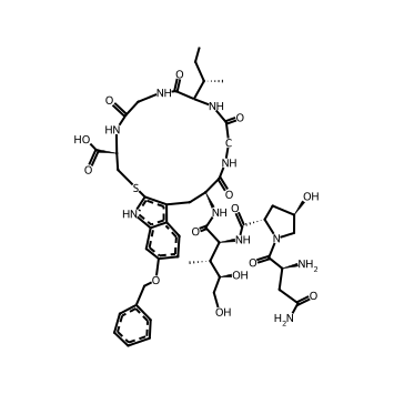 CC[C@H](C)C1NC(=O)CNC(=O)[C@@H](NC(=O)[C@@H](NC(=O)[C@@H]2C[C@@H](O)CN2C(=O)[C@@H](N)CC(N)=O)[C@@H](C)[C@@H](O)CO)Cc2c([nH]c3cc(OCc4ccccc4)ccc23)SC[C@@H](C(=O)O)NC(=O)CNC1=O